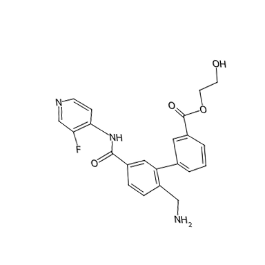 NCc1ccc(C(=O)Nc2ccncc2F)cc1-c1cccc(C(=O)OCCO)c1